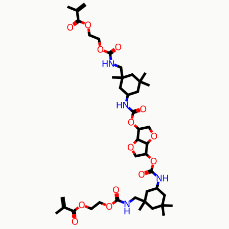 C=C(C)C(=O)OCCOC(=O)NCC1(C)CC(NC(=O)OC2COC3C(OC(=O)NC4CC(C)(C)CC(C)(CNC(=O)OCCOC(=O)C(=C)C)C4)COC23)CC(C)(C)C1